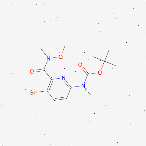 CON(C)C(=O)c1nc(N(C)C(=O)OC(C)(C)C)ccc1Br